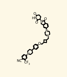 N#Cc1ccc(N2CCC(c3ccc(OCC4CC(CN5CCN(c6ccc7c(c6)CN(C6CCC(=O)NC6=O)C7=O)CC5)C4)cc3)CC2)cc1C(F)(F)F